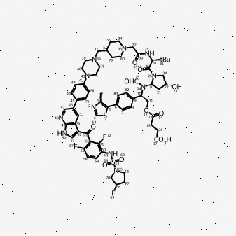 Cc1ncsc1-c1ccc([C@H](COC(=O)CCC(=O)O)N(C=O)[C@@H]2C[C@@H](O)CN2C(=O)[C@@H](NC(=O)CN2CCC(CN3CCN(c4ccc(-c5cnc6[nH]cc(C(=O)c7c(F)ccc(NS(=O)(=O)N8CC[C@@H](F)C8)c7F)c6c5)cc4)CC3)CC2)C(C)(C)C)cc1